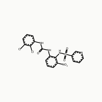 O=C(Nc1cccc(Cl)c1Cl)Nc1cccc([N+](=O)[O-])c1NS(=O)(=O)c1cccnc1